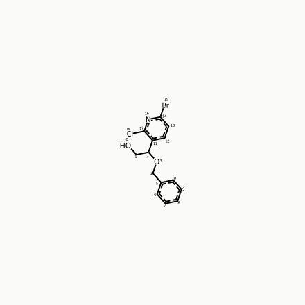 OCC(OCc1ccccc1)c1ccc(Br)nc1Cl